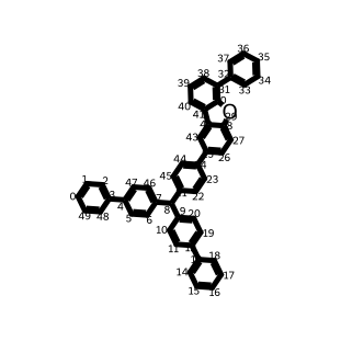 c1ccc(-c2ccc(C(c3ccc(-c4ccccc4)cc3)c3ccc(-c4ccc5oc6c(-c7ccccc7)cccc6c5c4)cc3)cc2)cc1